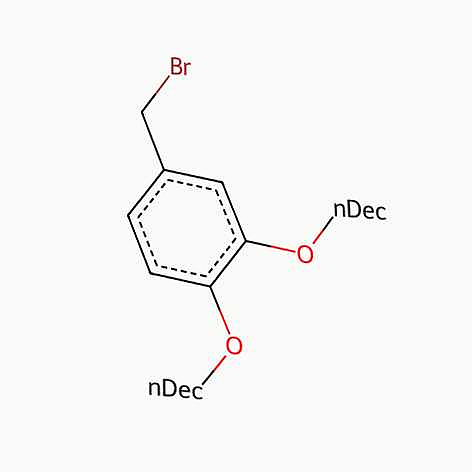 CCCCCCCCCCOc1ccc(CBr)cc1OCCCCCCCCCC